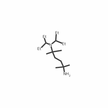 CCC(CC)N(C(CC)CC)C(C)(C)CCC(C)(C)N